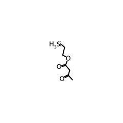 CC(=O)CC(=O)OCC[SiH3]